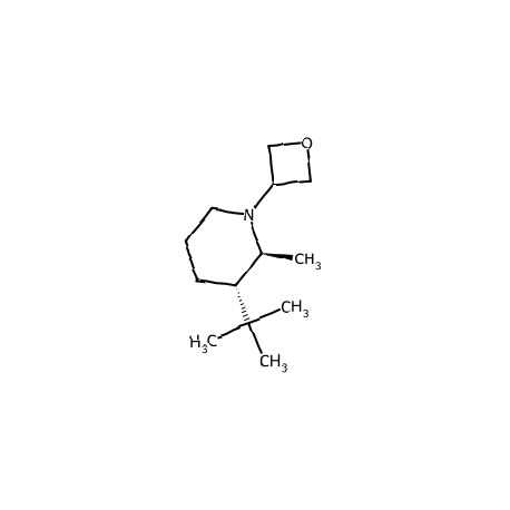 C[C@H]1[C@H](C(C)(C)C)CCCN1C1COC1